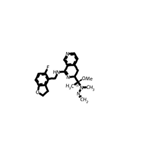 C=NN(C)[C@@](C)(OC)C1Cc2ccncc2C(NCc2c(F)ccc3c2CCO3)=N1